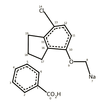 O=C(O)c1ccccc1.[Na][CH2]Oc1ccc(Cl)c2c1CCC2